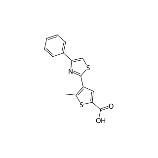 Cc1sc(C(=O)O)cc1-c1nc(-c2ccccc2)cs1